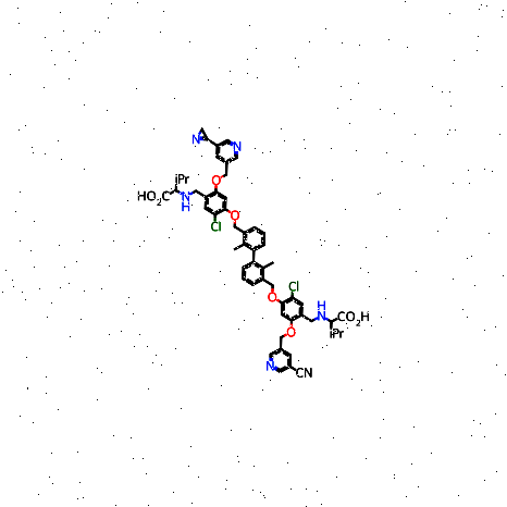 Cc1c(COc2cc(OCc3cncc(C#N)c3)c(CNC(C(=O)O)C(C)C)cc2Cl)cccc1-c1cccc(COc2cc(OCc3cncc(C4=NC4)c3)c(CNC(C(=O)O)C(C)C)cc2Cl)c1C